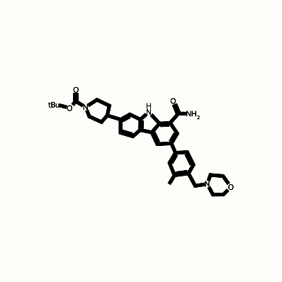 Cc1cc(-c2cc(C(N)=O)c3[nH]c4cc(C5CCN(C(=O)OC(C)(C)C)CC5)ccc4c3c2)ccc1CN1CCOCC1